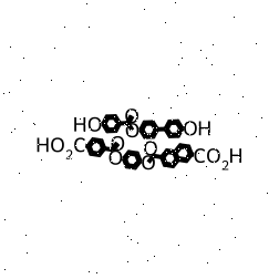 O=C(O)c1ccc(C(=O)Oc2ccc(OC(=O)c3ccc4cc(C(=O)O)ccc4c3)cc2)cc1.O=C(Oc1ccc(-c2ccc(O)cc2)cc1)c1ccc(O)cc1